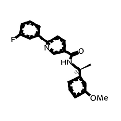 COc1cccc([C@H](C)NC(=O)c2ccc(-c3cccc(F)c3)nc2)c1